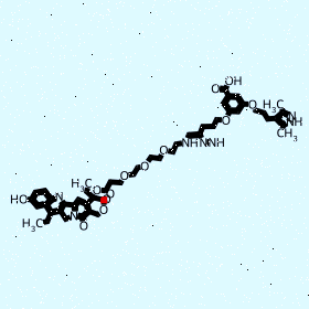 CCc1c2c(nc3ccc(O)cc13)-c1cc3c(c(=O)n1C2)COC(=O)C3(CC)OC(=O)CCOCCOCCOCCN/C=C(/CCCOc1cc(OCCCc2c(C)n[nH]c2C)cc(C(=O)O)c1)N=N